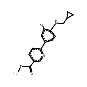 COC(=O)c1ccc(-c2ccc(NCC3CC3)c(Cl)c2)nc1